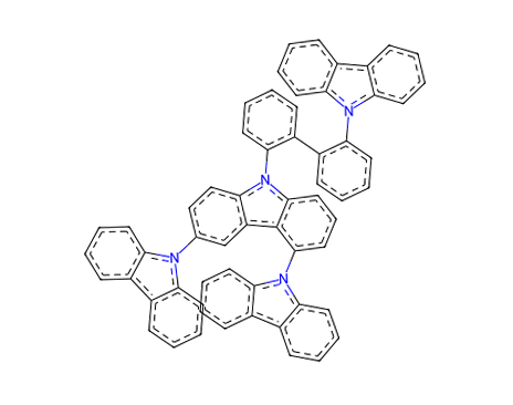 c1ccc(-n2c3ccccc3c3ccccc32)c(-c2ccccc2-n2c3ccc(-n4c5ccccc5c5ccccc54)cc3c3c(-n4c5ccccc5c5ccccc54)cccc32)c1